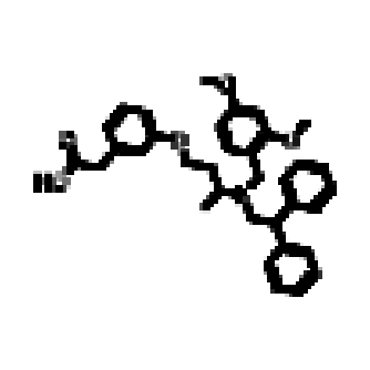 COc1ccc(CN(CC(c2ccccc2)c2ccccc2)C(C)CCOc2cccc(CC(=O)O)c2)c(OC)c1